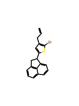 C=CCc1cc(C2Cc3cccc4cccc2c34)sc1Br